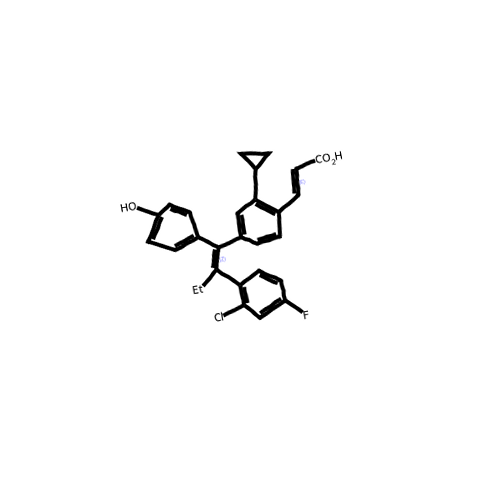 CC/C(=C(\c1ccc(O)cc1)c1ccc(/C=C/C(=O)O)c(C2CC2)c1)c1ccc(F)cc1Cl